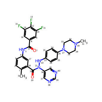 Cc1ccc(NC(=O)c2cc(F)c(F)c(F)c2)cc1C(=O)N(Nc1ccc(N2CCN(C)CC2)cc1)c1cncnc1